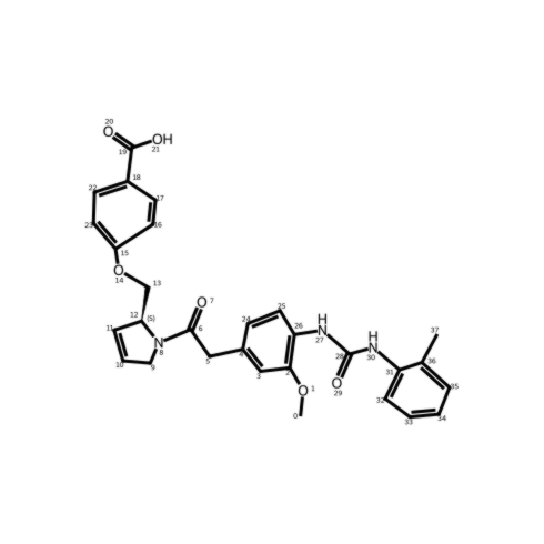 COc1cc(CC(=O)N2CC=C[C@H]2COc2ccc(C(=O)O)cc2)ccc1NC(=O)Nc1ccccc1C